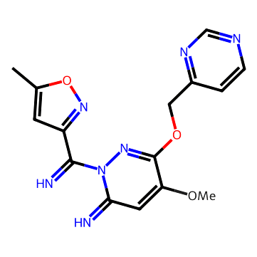 COc1cc(=N)n(C(=N)c2cc(C)on2)nc1OCc1ccncn1